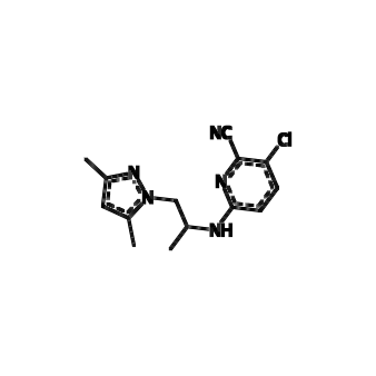 Cc1cc(C)n(CC(C)Nc2ccc(Cl)c(C#N)n2)n1